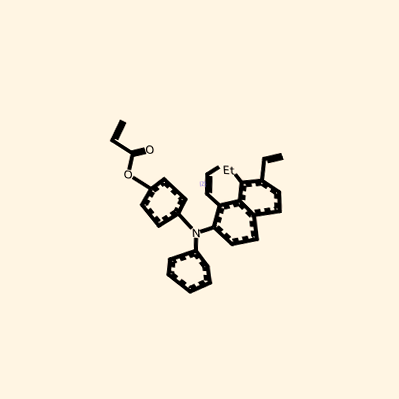 C=CC(=O)Oc1ccc(N(c2ccccc2)c2ccc3ccc(C=C)c(CC)c3c2/C=C\C)cc1